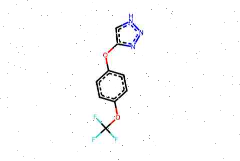 FC(F)(F)Oc1ccc(Oc2c[nH]nn2)cc1